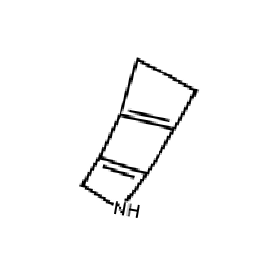 C1CC2=C1C1=C2NC1